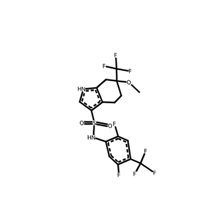 COC1(C(F)(F)F)CCc2c(S(=O)(=O)Nc3cc(F)c(C(F)(F)F)cc3F)c[nH]c2C1